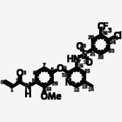 C=CC(=O)Nc1ccc(Oc2ncc(C)cc2NS(=O)(=O)c2ccc(Cl)c(C(F)(F)F)c2)cc1OC